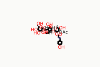 CC(=O)O[C@@H]1[C@@H](O)[C@H](C)O[C@@H](O[C@H]2[C@@H]3C=CO[C@@H](O[C@@H]4O[C@H](CO)[C@@H](O)[C@H](O)[C@H]4O)[C@@H]3[C@@]3(CO)O[C@@H]23)[C@@H]1OC(=O)/C=C/c1ccc(O)cc1